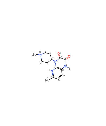 Cn1c(=O)c(=O)n(C2CCN(C(C)(C)C)CC2)c2nc(C#N)ccc21